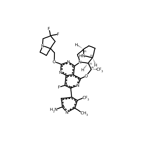 Cc1nc(N)cc(-c2nc3c4c(nc(OCC56CCN5CC(F)(F)C6)nc4c2F)N2C[C@H]4CC[C@H](N4)[C@H]2[C@H](C(F)(F)F)O3)c1C(F)(F)F